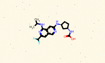 CC(C)Nc1nc(C(F)F)cc2cnc(N[C@H]3CC[C@@H](NC(=O)O)C3)cc12